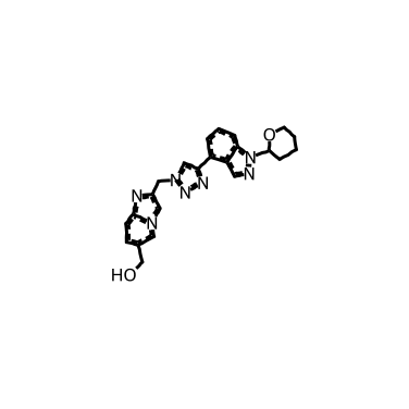 OCc1ccc2nc(Cn3cc(-c4cccc5c4cnn5C4CCCCO4)nn3)cn2c1